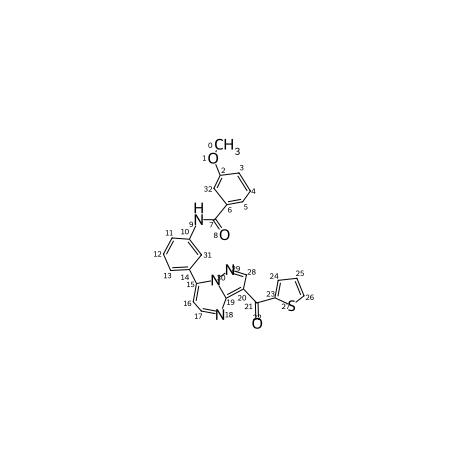 COc1cccc(C(=O)Nc2cccc(-c3ccnc4c(C(=O)c5cccs5)cnn34)c2)c1